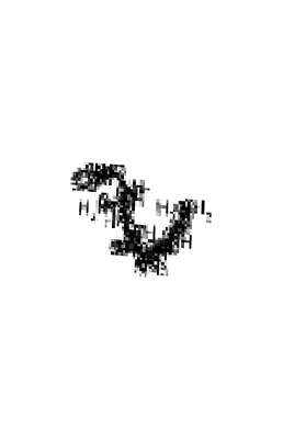 CC(C)[C@@H](NCCNC(=O)c1ccc2nc3c(nc2c1)CSC1CCCCCCCC(CC1)SC3)C(=O)N[C@H](CCCNC(N)=O)C(=O)Nc1ccc(COC(=O)N(C)C[C@@H]2C[C@@H](N3CCOCC3)CN2C(=O)Oc2cc3c(c4ccccc24)[C@H](CCl)CN3C(=O)c2cc3cc(NC(=O)c4ccc(OCCN(C)C)cc4)ccc3[nH]2)cc1